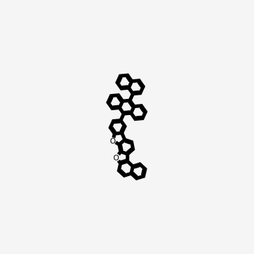 c1ccc2c(-c3c4ccccc4c(-c4ccc5oc6c(ccc7c6oc6ccc8ccccc8c67)c5c4)c4ccccc34)cccc2c1